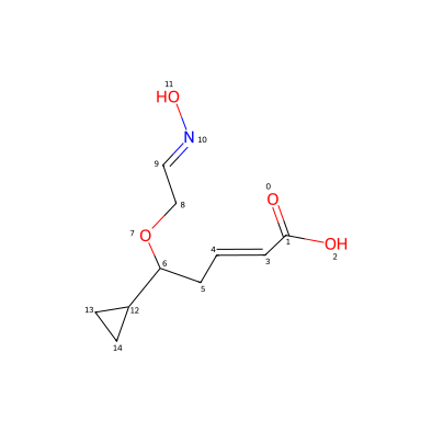 O=C(O)/C=C/CC(OCC=NO)C1CC1